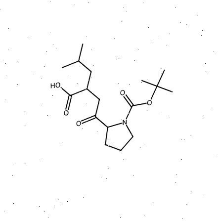 CC(C)CC(CC(=O)C1CCCN1C(=O)OC(C)(C)C)C(=O)O